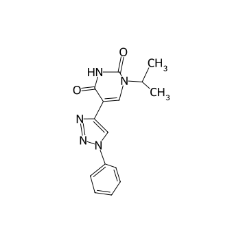 CC(C)n1cc(-c2cn(-c3ccccc3)nn2)c(=O)[nH]c1=O